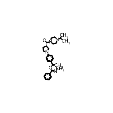 C=C(O/C(=N\C)c1ccccc1)c1ccc(N2CC[C@H](C(=O)N3CCN(C(C)C)CC3)C2)cc1